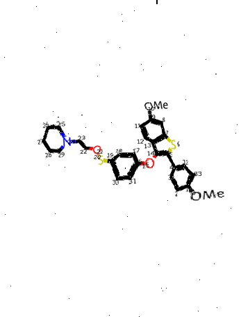 COc1ccc(-c2sc3cc(OC)ccc3c2Oc2ccc(SOCCN3CCCCC3)cc2)cc1